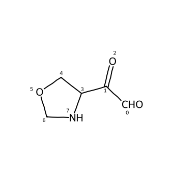 O=CC(=O)C1COCN1